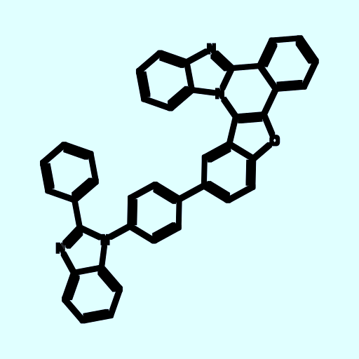 c1ccc(-c2nc3ccccc3n2-c2ccc(-c3ccc4oc5c6ccccc6c6nc7ccccc7n6c5c4c3)cc2)cc1